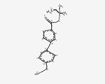 C[N+](C)(C)CC(=O)c1ccc(-c2ccc(CO)cc2)cc1